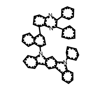 c1ccc(-c2nc3cccc(-c4ccc(-n5c6ccccc6c6cc7c8ccccc8n(-c8ccccc8)c7cc65)c5ccccc45)c3nc2-c2ccccc2)cc1